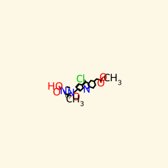 COC(=O)CC1CCc2nc3cc(C(=O)N4CCN(C(=O)O)C[C@H]4C)ccc3c(Cl)c2C1